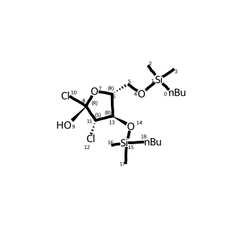 CCCC[Si](C)(C)OC[C@H]1O[C@@](O)(Cl)[C@@H](Cl)[C@@H]1O[Si](C)(C)CCCC